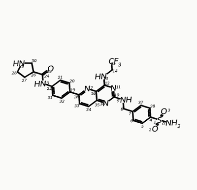 NS(=O)(=O)c1ccc(CNc2nc(NCC(F)(F)F)c3nc(-c4ccc(NC(=O)C5CCNC5)cc4)ccc3n2)cc1